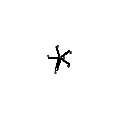 [CH3][U]([CH3])([CH3])([CH3])=[O]